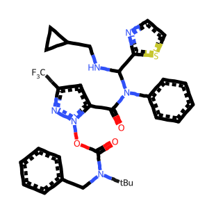 CC(C)(C)N(Cc1ccccc1)C(=O)On1nc(C(F)(F)F)cc1C(=O)N(c1ccccc1)C(NCC1CC1)c1nccs1